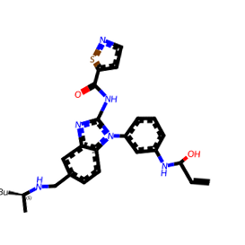 C=CC(O)Nc1cccc(-n2c(NC(=O)c3ccns3)nc3cc(CN[C@@H](C)C(C)(C)C)ccc32)c1